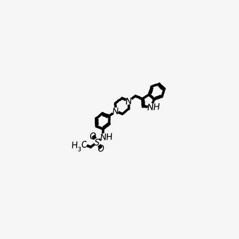 CCS(=O)(=O)Nc1cccc(N2CCN(Cc3c[nH]c4ccccc34)CC2)c1